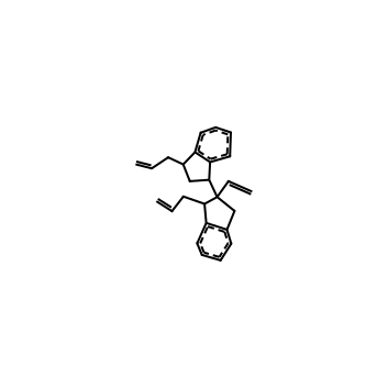 C=CCC1CC(C2(C=C)Cc3ccccc3C2CC=C)c2ccccc21